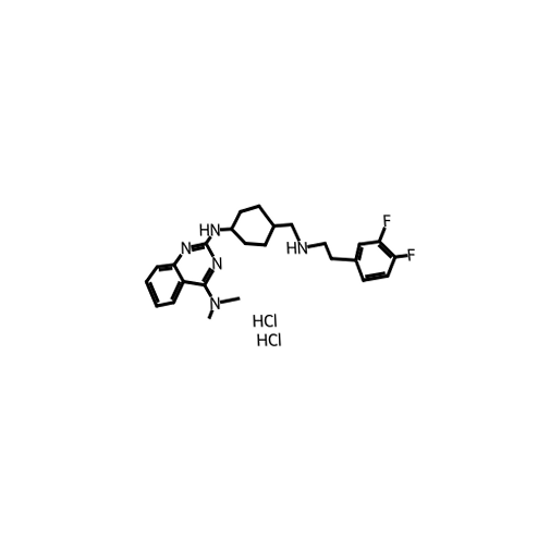 CN(C)c1nc(NC2CCC(CNCCc3ccc(F)c(F)c3)CC2)nc2ccccc12.Cl.Cl